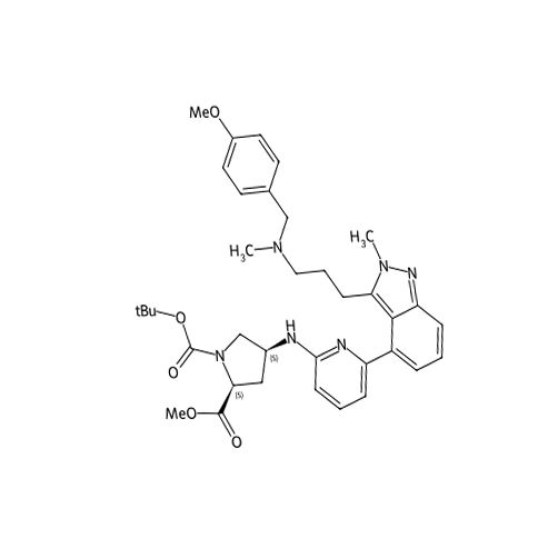 COC(=O)[C@@H]1C[C@H](Nc2cccc(-c3cccc4nn(C)c(CCCN(C)Cc5ccc(OC)cc5)c34)n2)CN1C(=O)OC(C)(C)C